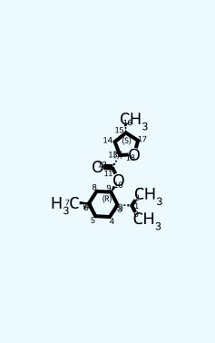 CC(C)[C@@H]1CC[C@@H](C)C[C@H]1OC(=O)[C@@H]1C[C@H](C)CO1